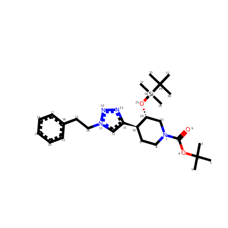 CC(C)(C)OC(=O)N1CC[C@@H](c2cn(CCc3ccccc3)nn2)[C@H](O[Si](C)(C)C(C)(C)C)C1